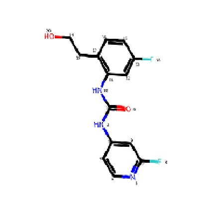 O=C(Nc1ccnc(F)c1)Nc1cc(F)ccc1CCO